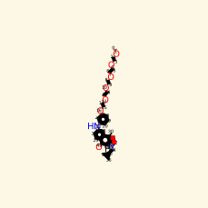 COCCOCCOCCOCCOCCOc1cccc(Nc2ccc3c(c2)[C@]2(C)CCN(CC4CC4)[C@H](C3=O)[C@@H]2C)c1